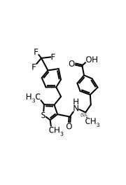 Cc1sc(C)c(C(=O)N[C@@H](C)Cc2ccc(C(=O)O)cc2)c1Cc1ccc(C(F)(F)F)cc1